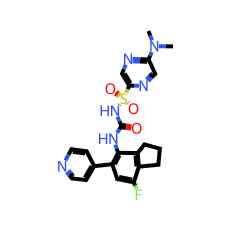 CN(C)c1cnc(S(=O)(=O)NC(=O)Nc2c(-c3ccncc3)cc(F)c3c2CCC3)cn1